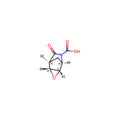 O=C(O)N1C(=O)[C@H]2C[C@@H]1[C@@H]1O[C@@H]12